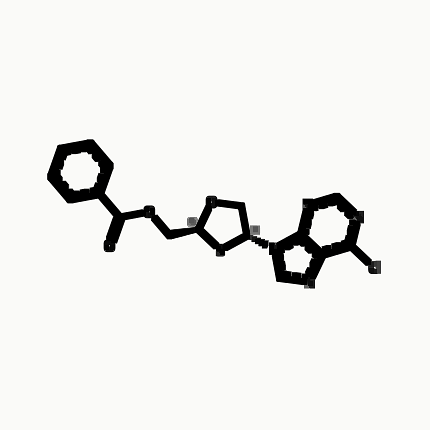 O=C(OC[C@H]1OC[C@H](n2cnc3c(Cl)ncnc32)S1)c1ccccc1